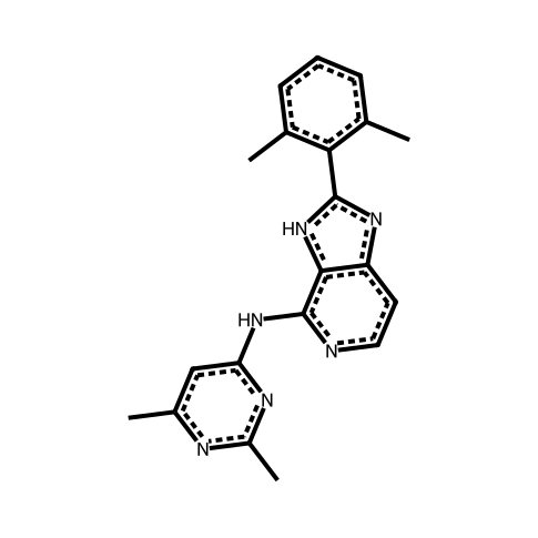 Cc1cc(Nc2nccc3nc(-c4c(C)cccc4C)[nH]c23)nc(C)n1